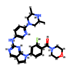 CC1CN(c2ccc(Nc3ncc4ccn(-c5ccc(C(=O)N6CCOCC6)c(F)c5)c4n3)cn2)CC(C)N1